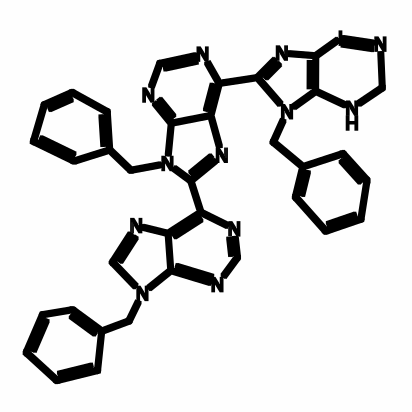 c1ccc(Cn2c(-c3ncnc4c3nc(-c3ncnc5c3ncn5Cc3ccccc3)n4Cc3ccccc3)nc3c2NCN=I3)cc1